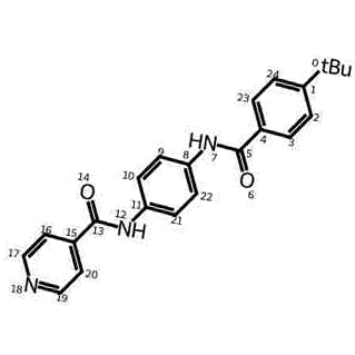 CC(C)(C)c1ccc(C(=O)Nc2ccc(NC(=O)c3ccncc3)cc2)cc1